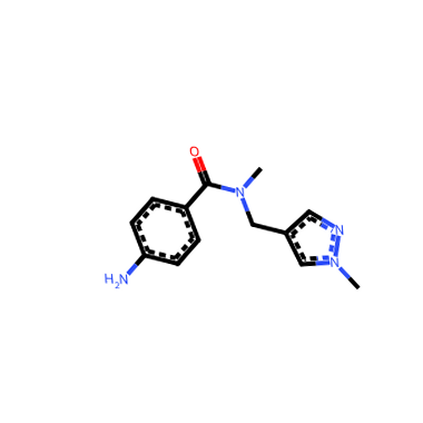 CN(Cc1cnn(C)c1)C(=O)c1ccc(N)cc1